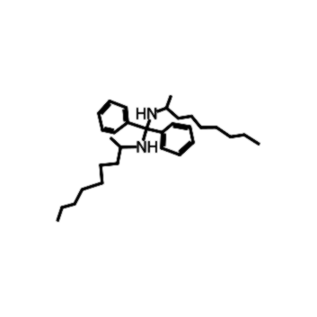 CCCCCCCC(C)NC(NC(C)CCCCCCC)(c1ccccc1)c1ccccc1